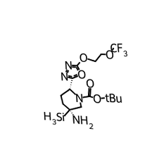 CC(C)(C)OC(=O)N1C[C@@](N)([SiH3])CC[C@@H]1c1nnc(OCCOC(F)(F)F)o1